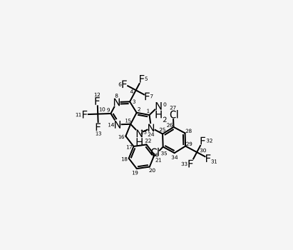 NC1=C2C(C(F)(F)F)=NC(C(F)(F)F)=NC2(Cc2ccccc2)NN1c1c(Cl)cc(C(F)(F)F)cc1Cl